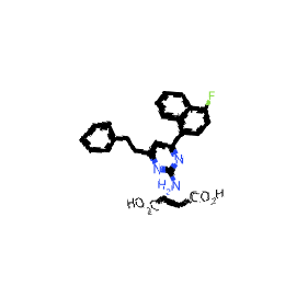 Nc1nc(CCc2ccccc2)cc(-c2ccc(F)c3ccccc23)n1.O=C(O)C=CC(=O)O